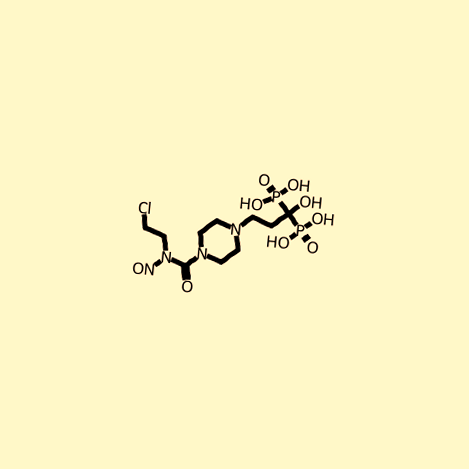 O=NN(CCCl)C(=O)N1CCN(CCC(O)(P(=O)(O)O)P(=O)(O)O)CC1